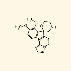 COc1cccc(C2(c3ccn4ccnc4n3)CNCCO2)c1OC